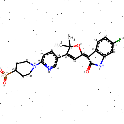 CC1(C)O/C(=C2/C(=O)Nc3cc(F)ccc32)C=C1c1ccc(N2CCC([SH](=O)=O)CC2)nc1